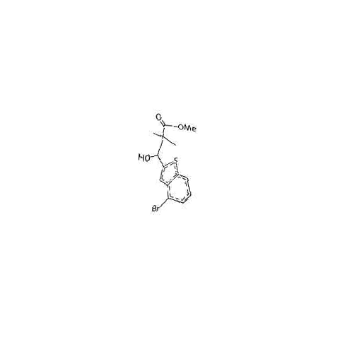 COC(=O)C(C)(C)C(O)c1cc2c(Br)cccc2s1